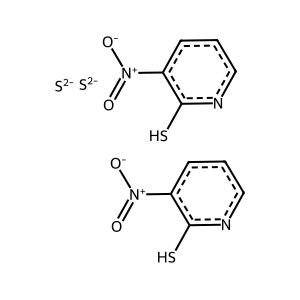 O=[N+]([O-])c1cccnc1S.O=[N+]([O-])c1cccnc1S.[S-2].[S-2]